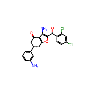 Nc1cccc(C2=Cc3oc(C(=O)c4ccc(Cl)cc4Cl)c(N)c3C(=O)C2)c1